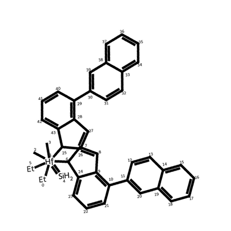 C[CH2][Hf]([CH3])([CH3])(=[SiH2])([CH2]C)([CH]1C=Cc2c(-c3ccc4ccccc4c3)cccc21)[CH]1C=Cc2c(-c3ccc4ccccc4c3)cccc21